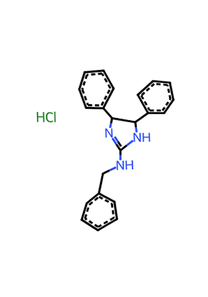 Cl.c1ccc(CNC2=NC(c3ccccc3)C(c3ccccc3)N2)cc1